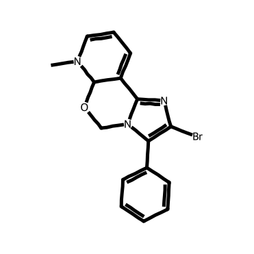 CN1C=CC=C2c3nc(Br)c(-c4ccccc4)n3COC21